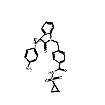 Nc1ccc([C@@H]2C[C@@]23C(=O)N(Cc2ccc(C(=O)NS(=O)(=O)C4CC4)cc2)c2ccccc23)cc1